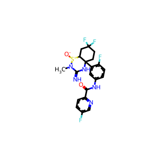 CN1C(=N)NC2(c3cc(NC(=O)c4ccc(F)cn4)ccc3F)CCC(F)(F)CC2[S+]1[O-]